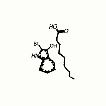 CCCCCCCCC(=O)O.Oc1c(Br)[nH]c2ccccc12